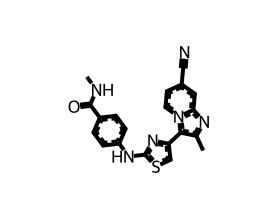 CNC(=O)c1ccc(Nc2nc(-c3c(C)nc4cc(C#N)ccn34)cs2)cc1